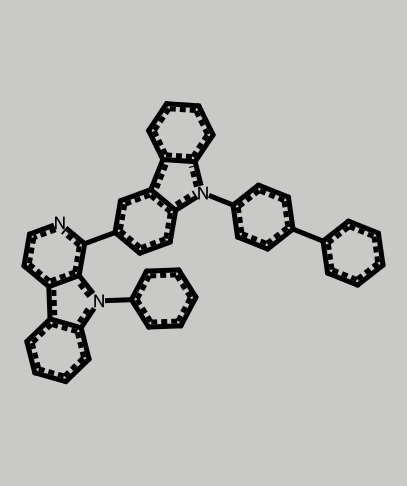 c1ccc(-c2ccc(-n3c4ccccc4c4cc(-c5nccc6c7ccccc7n(-c7ccccc7)c56)ccc43)cc2)cc1